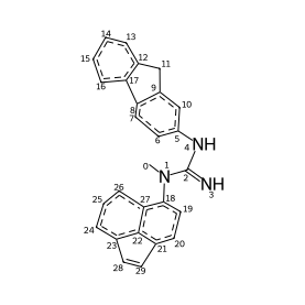 CN(C(=N)Nc1ccc2c(c1)Cc1ccccc1-2)c1ccc2c3c(cccc13)C=C2